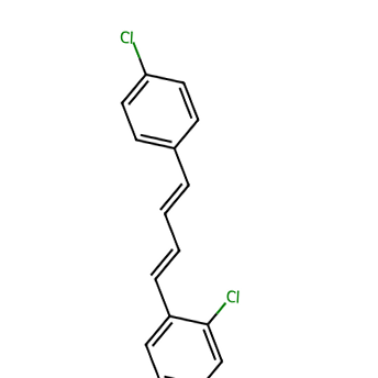 Clc1ccc(C=CC=Cc2ccccc2Cl)cc1